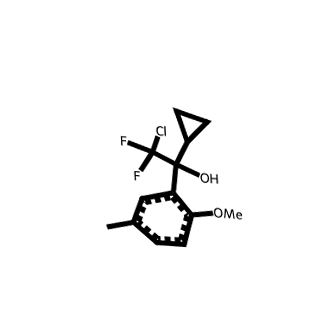 COc1ccc(C)cc1C(O)(C1CC1)C(F)(F)Cl